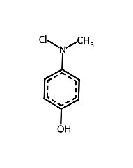 CN(Cl)c1ccc(O)cc1